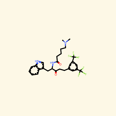 CN(C)CCCCC(=O)NC(Cc1c[nH]c2ccccc12)C(=O)CCc1cc(C(F)(F)F)cc(C(F)(F)F)c1